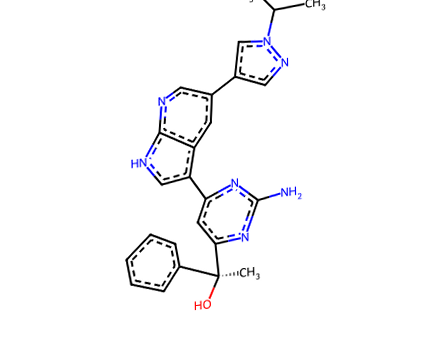 CC(C)n1cc(-c2cnc3[nH]cc(-c4cc([C@@](C)(O)c5ccccc5)nc(N)n4)c3c2)cn1